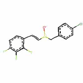 [O-][S+](C=Cc1ccc(F)c(F)c1F)Cc1ccc(Cl)cc1